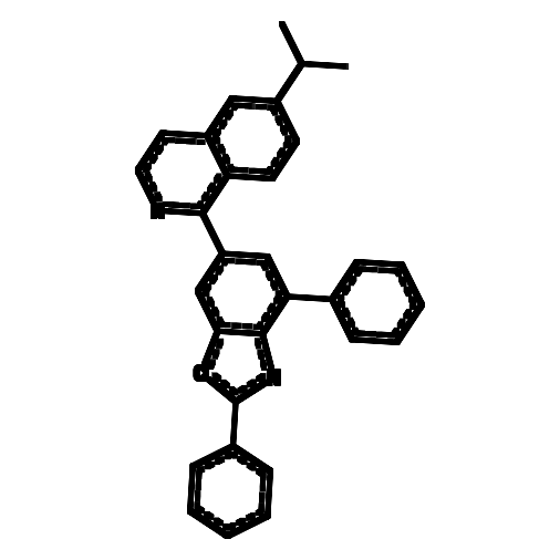 CC(C)c1ccc2c(-c3cc(-c4ccccc4)c4nc(-c5ccccc5)oc4c3)nccc2c1